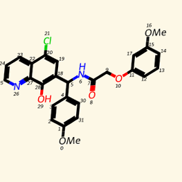 COc1ccc(C(NC(=O)COc2cccc(OC)c2)c2cc(Cl)c3cccnc3c2O)cc1